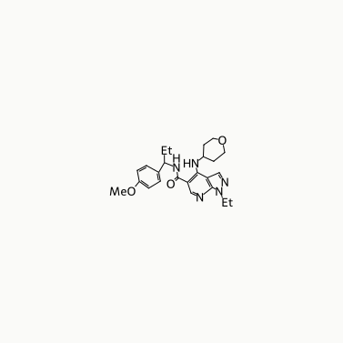 CCC(NC(=O)c1cnc2c(cnn2CC)c1NC1CCOCC1)c1ccc(OC)cc1